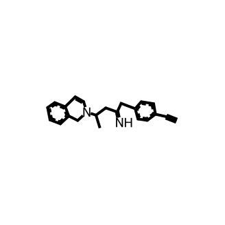 C#Cc1ccc(CC(=N)CC(C)N2C=Cc3ccccc3C2)cc1